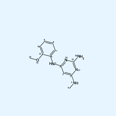 CNc1cc(Nc2ccccc2OC)nc(N)n1